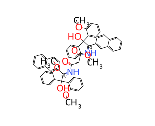 COc1ccccc1C(O)(c1ccccc1OC)[C@H](NC(=O)CC(=O)N[C@H](c1ccc2ccccc2c1)C(O)(c1ccccc1OC)c1ccccc1OC)c1ccc2ccccc2c1